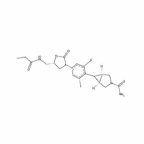 CCC(=O)NC[C@H]1CN(c2cc(F)c(C3[C@H]4CN(C(N)=O)C[C@@H]34)c(F)c2)C(=O)O1